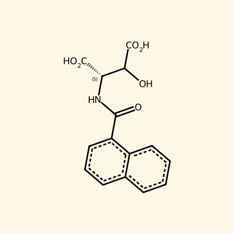 O=C(N[C@H](C(=O)O)C(O)C(=O)O)c1cccc2ccccc12